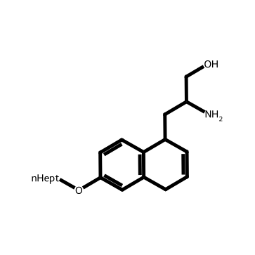 CCCCCCCOc1ccc2c(c1)CC=CC2CC(N)CO